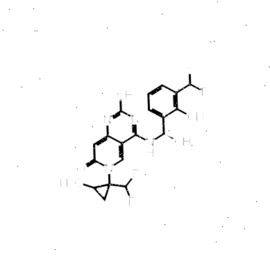 Cc1nc(N[C@H](C)c2cccc(C(F)F)c2C)c2cn(C3(C(F)F)CC3C)c(=O)cc2n1